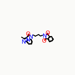 Cc1nc2cccc3n(CCCCCN4C(=O)c5ccccc5C4=O)c(=O)c1n23